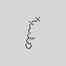 C[Si](C)(C)CC[Si](C)(C)CCCOCC(O)CN1CCCCC1